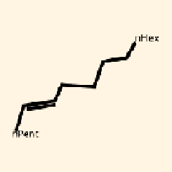 [CH2]CCCCC=CCCCCCCCCC[CH2]